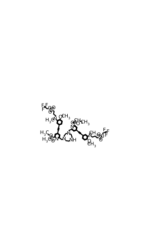 CCOP(C)(=O)c1cc(C#Cc2ccc(OC)c(N(C)CCCS(=O)(=O)OCC(F)(F)F)c2)cc(CN2CCNCCN(Cc3cc(C#Cc4ccc(OC)c(N(C)CCCS(=O)(=O)OCC(F)(F)F)c4)cc(P(C)(=O)OCC)n3)CC2)n1